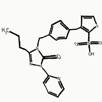 CCCc1nn(-c2ccccn2)c(=O)n1Cc1ccc(-c2ccsc2S(=O)(=O)O)cc1